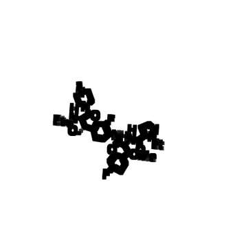 CCC(=O)N[C@@H](C(=O)N1CCN(C)CC1)[C@@H](C)c1ccc(NC(=O)[C@@H](NC(=O)c2ccnn2CC)[C@H](OC)c2ccc(F)cc2)c(F)c1